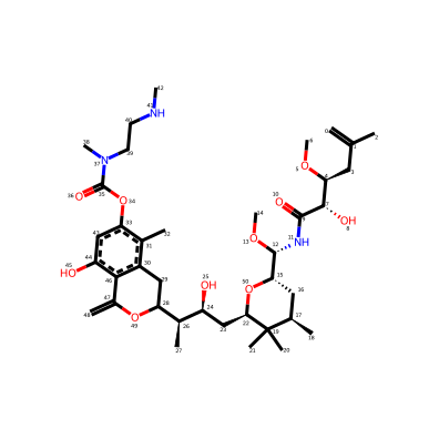 C=C(C)C[C@H](OC)[C@H](O)C(=O)N[C@@H](OC)[C@@H]1C[C@@H](C)C(C)(C)[C@@H](C[C@H](O)[C@@H](C)C2Cc3c(C)c(OC(=O)N(C)CCNC)cc(O)c3C(=C)O2)O1